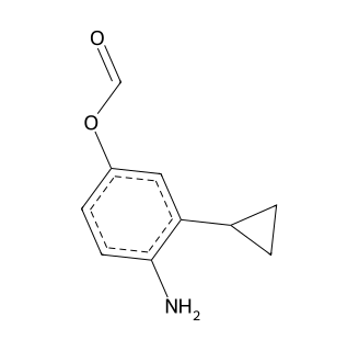 Nc1ccc(OC=O)cc1C1CC1